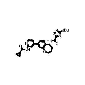 CC(C)(C)c1noc(C(=O)N[C@@H]2CCCOc3cc(-c4ccnc(NC(=O)C5CC5)c4)ccc32)n1